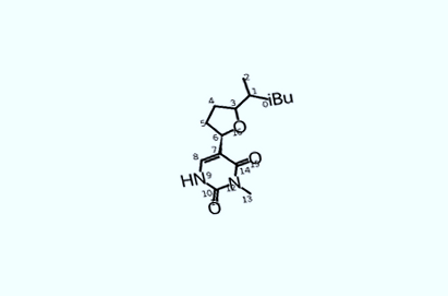 CCC(C)C(C)C1CC[C@H](c2c[nH]c(=O)n(C)c2=O)O1